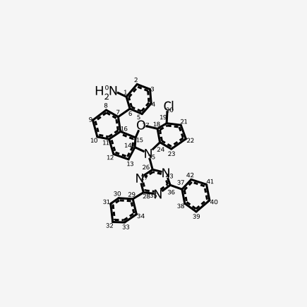 Nc1ccccc1-c1cccc2ccc3c(c12)Oc1c(Cl)cccc1N3c1nc(-c2ccccc2)nc(-c2ccccc2)n1